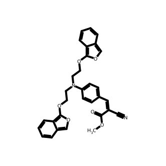 COC(=O)C(C#N)=Cc1ccc(N(CCOc2occ3ccccc23)CCOc2occ3ccccc23)cc1